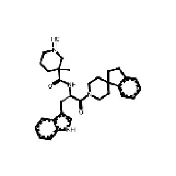 C[C@@]1(C(=O)N[C@H](Cc2c[nH]c3ccccc23)C(=O)N2CCC3(CCc4ccccc43)CC2)CCCNC1.Cl